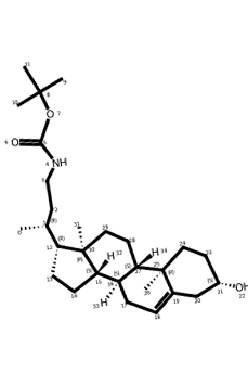 C[C@H](CCNC(=O)OC(C)(C)C)[C@H]1CC[C@H]2[C@@H]3CC=C4C[C@@H](O)CC[C@]4(C)[C@H]3CC[C@]12C